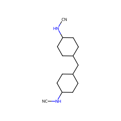 N#CNC1CCC(CC2CCC(NC#N)CC2)CC1